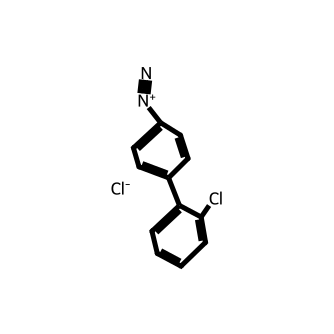 N#[N+]c1ccc(-c2ccccc2Cl)cc1.[Cl-]